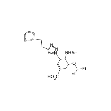 CCC(CC)OC1CC(C(=O)O)=CC(n2cc(CCc3ccccc3)nn2)C1NC(C)=O